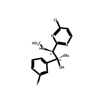 CC(C)(C)[C@](O)(c1cccc(F)c1)[C@@H](NC(=O)O)c1nccc(Cl)n1